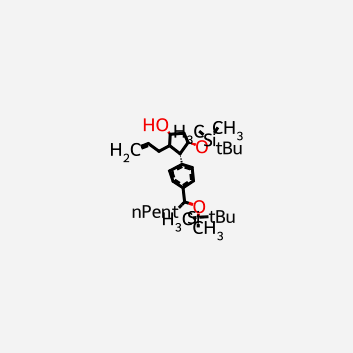 C=CCC1[C@@H](c2ccc(C(CCCCC)O[Si](C)(C)C(C)(C)C)cc2)[C@H](O[Si](C)(C)C(C)(C)C)C[C@@H]1O